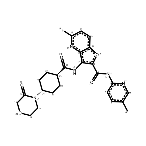 Cc1ccc(NC(=O)c2oc3ccc(F)nc3c2NC(=O)[C@H]2CC[C@H](N3CCOCC3=O)CC2)nc1